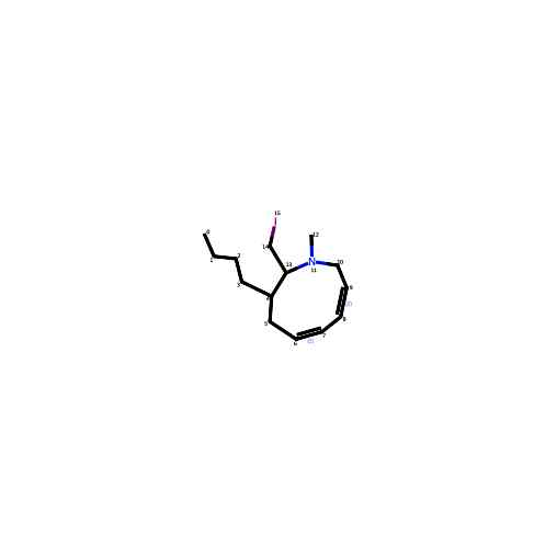 CCCCC1C/C=C\C=C/CN(C)C1CI